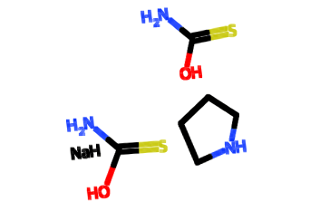 C1CCNC1.NC(O)=S.NC(O)=S.[NaH]